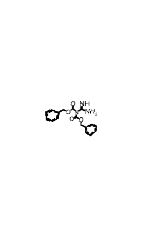 N=C(N)N(C(=O)OCc1ccccc1)C(=O)OCc1ccccc1